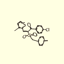 Cc1ccc(CS(=O)(=O)/C(=C/c2sccc2C)C(=O)c2ccc(Cl)cc2)cc1